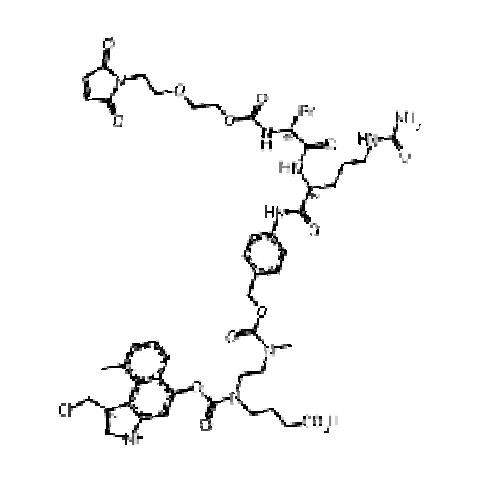 Cc1cccc2c(OC(=O)N(CCCC(=O)O)CCN(C)C(=O)OCc3ccc(NC(=O)[C@H](CCCNC(N)=O)NC(=O)[C@@H](NC(=O)OCCOCCN4C(=O)C=CC4=O)C(C)C)cc3)cc3c(c12)[C@H](CCl)CN3